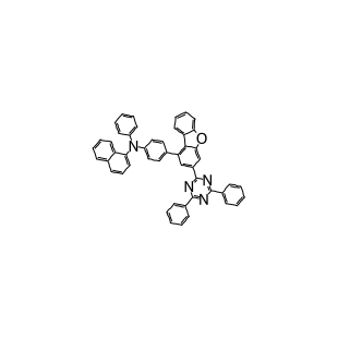 c1ccc(-c2nc(-c3ccccc3)nc(-c3cc(-c4ccc(N(c5ccccc5)c5cccc6ccccc56)cc4)c4c(c3)oc3ccccc34)n2)cc1